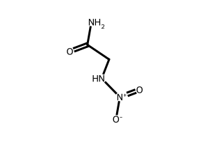 NC(=O)CN[N+](=O)[O-]